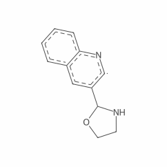 [c]1nc2ccccc2cc1C1NCCO1